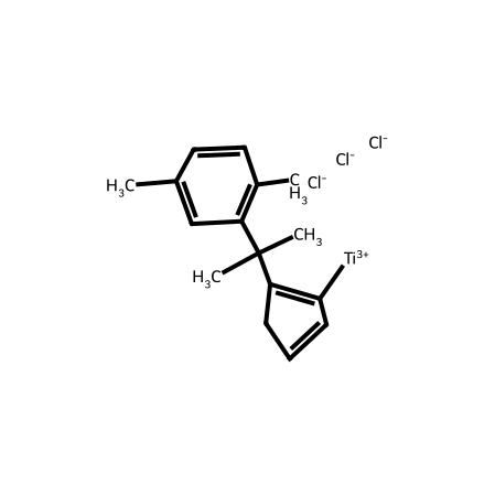 Cc1ccc(C)c(C(C)(C)C2=[C]([Ti+3])C=CC2)c1.[Cl-].[Cl-].[Cl-]